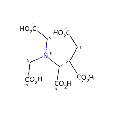 O=C(O)CCC(=O)O.O=C(O)CN(CC(=O)O)CC(=O)O